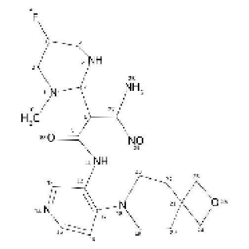 CN1CC(F)CNC1C(C(=O)Nc1cnccc1N1CCC2(CC1)COC2)C(N)N=O